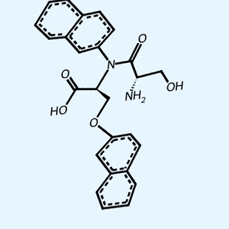 N[C@@H](CO)C(=O)N(c1ccc2ccccc2c1)[C@@H](COc1ccc2ccccc2c1)C(=O)O